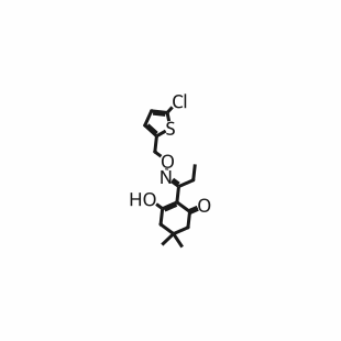 CCC(=NOCc1ccc(Cl)s1)C1=C(O)CC(C)(C)CC1=O